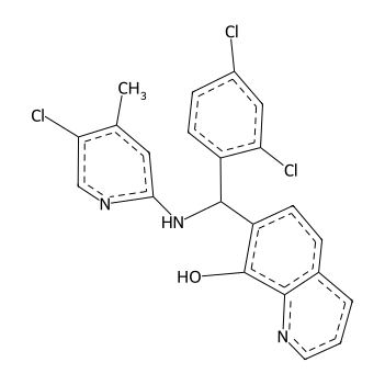 Cc1cc(NC(c2ccc(Cl)cc2Cl)c2ccc3cccnc3c2O)ncc1Cl